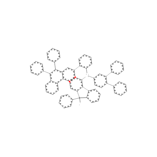 CC1(c2ccccc2)c2ccccc2-c2c(N(c3ccc(-c4ccccc4)c(-c4ccccc4)c3)c3ccccc3-c3ccc4c(c3)c(-c3ccccc3)c(-c3ccccc3)c3ccccc34)cccc21